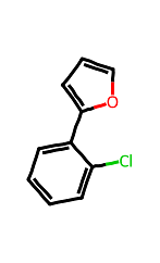 Clc1ccccc1-c1ccco1